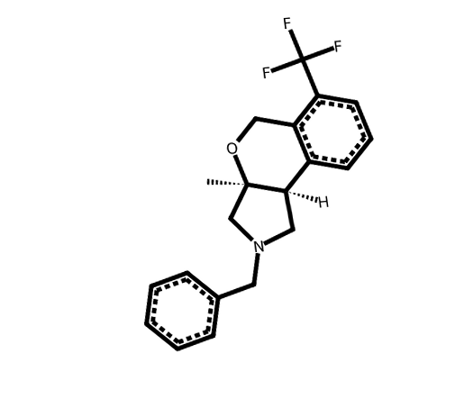 C[C@@]12CN(Cc3ccccc3)C[C@@H]1c1cccc(C(F)(F)F)c1CO2